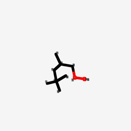 CC(CO[O])CC(C)(C)C